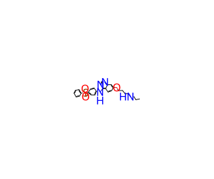 CCCNCCCCOc1ccc2c(Nc3ccc(S(=O)(=O)c4ccccc4)cc3)ncnc2c1